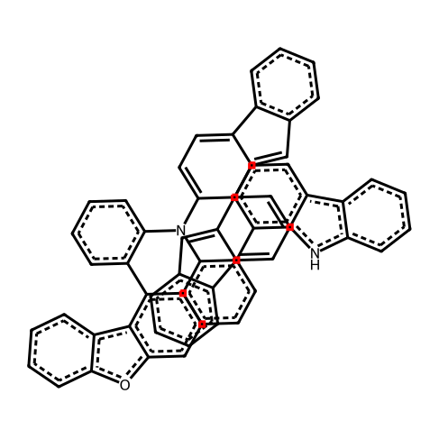 C1=CC2(C3=Cc4ccccc4C3=C1)C1=Cc3ccccc3C1=CC=C2N(c1ccccc1-c1cccc2c1[nH]c1ccccc12)c1ccccc1-c1cccc2oc3ccccc3c12